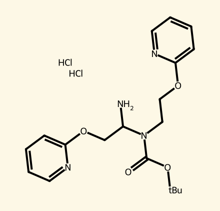 CC(C)(C)OC(=O)N(CCOc1ccccn1)C(N)COc1ccccn1.Cl.Cl